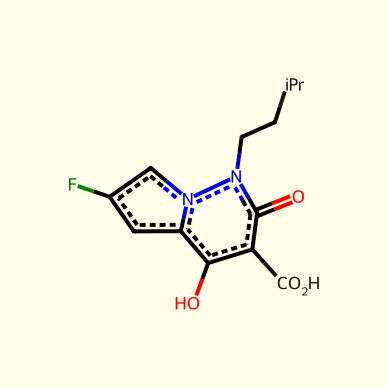 CC(C)CCn1c(=O)c(C(=O)O)c(O)c2cc(F)cn21